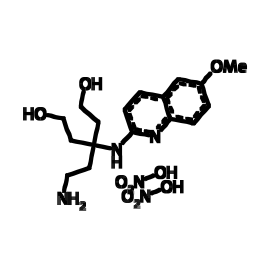 COc1ccc2nc(NC(CCN)(CCO)CCO)ccc2c1.O=[N+]([O-])O.O=[N+]([O-])O